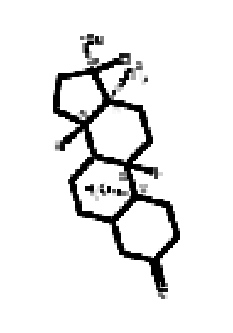 CCCC[C@@]1(C)CC[C@H]2C3CCC4CC(=O)CC[C@]4(C)[C@H]3CC[C@@]21C